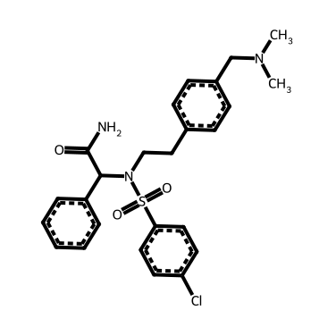 CN(C)Cc1ccc(CCN(C(C(N)=O)c2ccccc2)S(=O)(=O)c2ccc(Cl)cc2)cc1